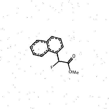 COC(=O)C(F)c1cccc2ccccc12